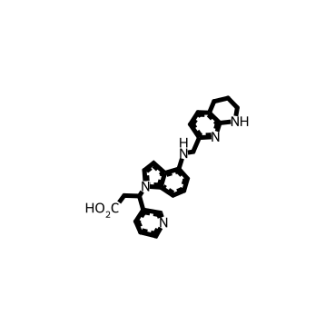 O=C(O)CC(c1cccnc1)n1ccc2c(NCc3ccc4c(n3)NCCC4)cccc21